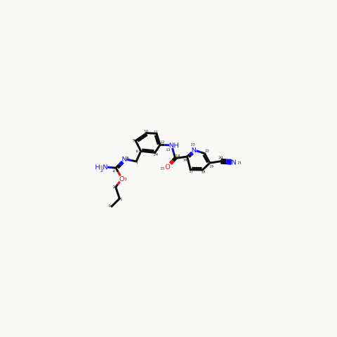 CCCO/C(N)=N\Cc1cccc(NC(=O)c2ccc(C#N)cn2)c1